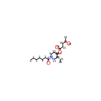 CCCCCCC(=O)N1CC[C@@H](OC(=O)CCC(C)=O)[C@H](CC)C1